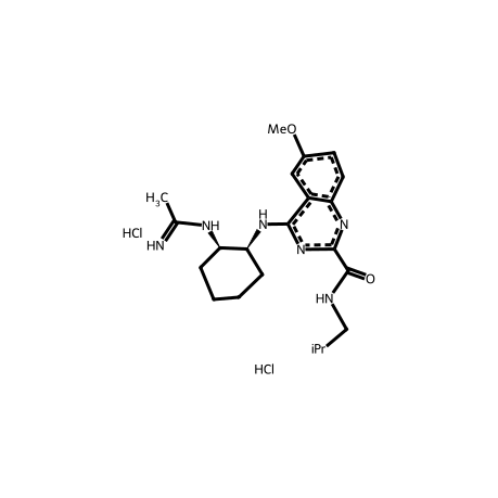 COc1ccc2nc(C(=O)NCC(C)C)nc(N[C@H]3CCCC[C@H]3NC(C)=N)c2c1.Cl.Cl